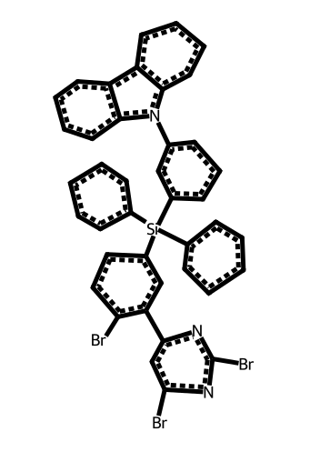 Brc1cc(-c2cc([Si](c3ccccc3)(c3ccccc3)c3cccc(-n4c5ccccc5c5ccccc54)c3)ccc2Br)nc(Br)n1